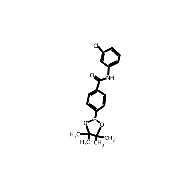 CC1(C)OB(c2ccc(C(=O)Nc3cccc(Cl)c3)cc2)OC1(C)C